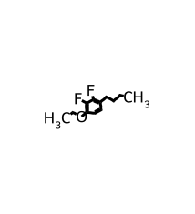 CCCCc1ccc(OCC)c(F)c1F